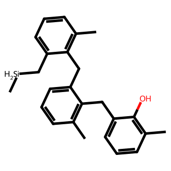 C[SiH2]Cc1cccc(C)c1Cc1cccc(C)c1Cc1cccc(C)c1O